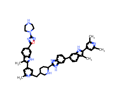 Cc1cc(-c2[nH]c3cc(-c4ccc5nc(C6CCC(Cc7cc(-c8[nH]c9cc(-c%10nc(N%11CCNCC%11)no%10)ccc9c8C)cc(C)n7)CN6)[nH]c5c4)ccc3c2C)cc(C)n1